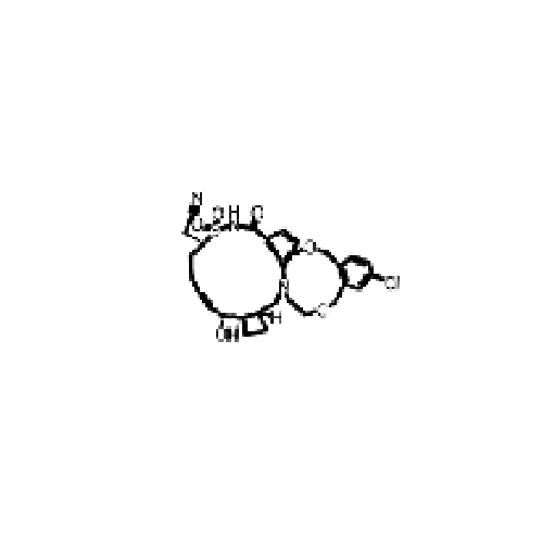 N#CC[C@@H]1CC/C=C\[C@H](O)[C@@H]2CC[C@H]2CN2CCCCc3cc(Cl)ccc3COc3ccc(cc32)C(=O)NS1(=O)=O